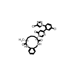 C[C@@H]1CCC[C@H](n2cnc(-c3cc(Cl)ccc3-n3cc(Cl)nn3)cc2=O)C(=O)NCc2ccccc2NC1=O